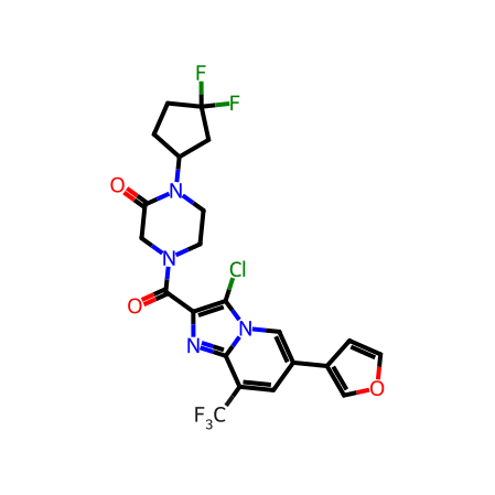 O=C(c1nc2c(C(F)(F)F)cc(-c3ccoc3)cn2c1Cl)N1CCN(C2CCC(F)(F)C2)C(=O)C1